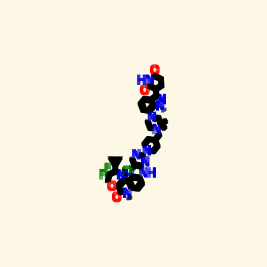 Cn1nc(C2CCC(=O)NC2=O)c2cccc(N3CCN(CC4CCN(c5ncc(Cl)c(Nc6ccc7c(c6)c6c(c(=O)n7C)OCC(F)(F)C(C7CC7)N6)n5)CC4)C(C)(C)C3)c21